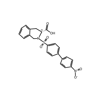 O=C(O)[C@H]1Cc2ccccc2CN1S(=O)(=O)c1ccc(-c2ccc([N+](=O)[O-])cc2)cc1